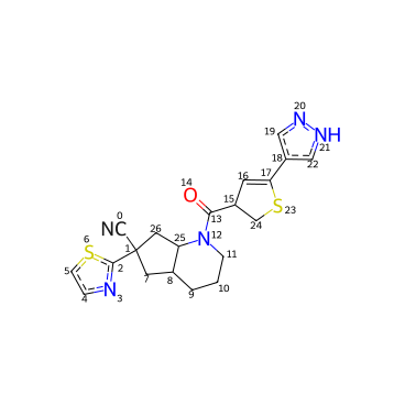 N#CC1(c2nccs2)CC2CCCN(C(=O)C3C=C(c4cn[nH]c4)SC3)C2C1